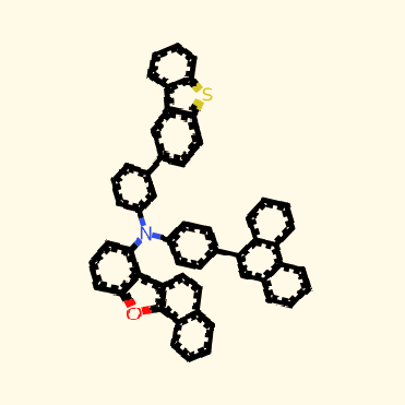 c1cc(-c2ccc3sc4ccccc4c3c2)cc(N(c2ccc(-c3cc4ccccc4c4ccccc34)cc2)c2cccc3oc4c5ccccc5ccc4c23)c1